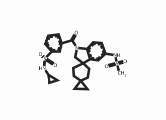 CS(=O)(=O)Nc1ccc2c(c1)C1(CCC3(CC3)CC1)CN2C(=O)c1cccc(S(=O)(=O)NC2CC2)c1